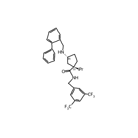 CC(C)[C@]1(C(=O)NCc2cc(C(F)(F)F)cc(C(F)(F)F)c2)CC[C@@H](NCc2ccccc2-c2ccccc2)C1